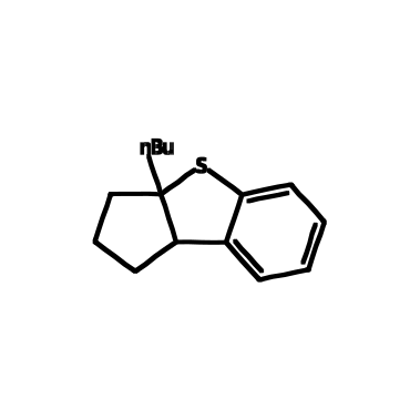 CCCCC12CCCC1c1ccccc1S2